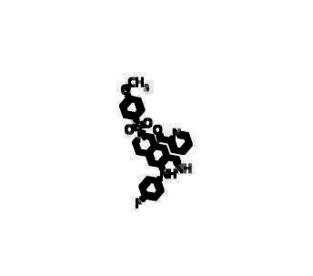 COc1ccc(S(=O)(=O)N2CCC3=CC(Nc4ccc(F)cc4)=C(C=N)C[C@]3(C(=O)c3ccccn3)C2)cc1